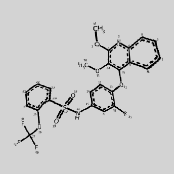 COc1nc2ccccc2c(Oc2ccc(NS(=O)(=O)c3ccccc3OC(F)(F)F)cc2F)c1OC